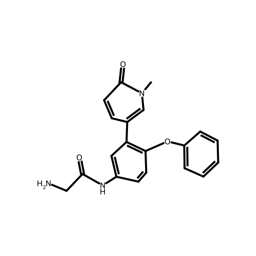 Cn1cc(-c2cc(NC(=O)CN)ccc2Oc2ccccc2)ccc1=O